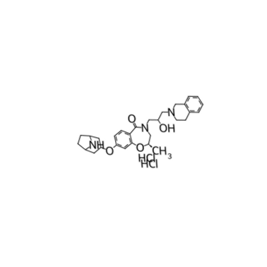 C[C@@H]1CN(CC(O)CN2CCc3ccccc3C2)C(=O)c2ccc(OC3CC4CCC(C3)N4)cc2O1.Cl.Cl